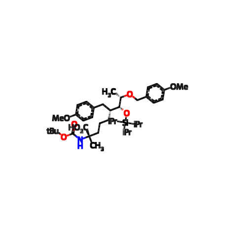 COc1ccc(CO[C@@H](C)[C@H](O[Si](C(C)C)(C(C)C)C(C)C)[C@H](CCC[C@](C)(NC(=O)OC(C)(C)C)C(=O)O)Cc2ccc(OC)cc2)cc1